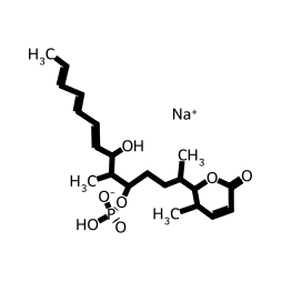 C/C=C/C=C/C=C/C(O)C(C)C(CCC(C)C1OC(=O)C=CC1C)OP(=O)([O-])O.[Na+]